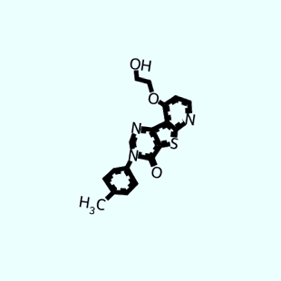 Cc1ccc(-n2cnc3c(sc4nccc(OCCO)c43)c2=O)cc1